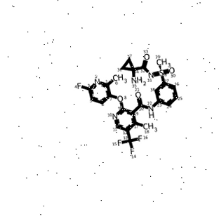 Cc1nc(F)ccc1Oc1ncc(C(F)(F)F)c(C)c1C(=O)Nc1cccc([S@@](C)(=O)=NC(=O)C2(N)CC2)c1